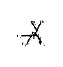 CCCCCCCCCCCCN(CCCCCCCCCCCC)CCCNc1nc(NCCCCOC(=O)CCN2CCN(C)CC2)nc(NCCCN(CCCCCCCCCCCC)CCCCCCCCCCCC)n1